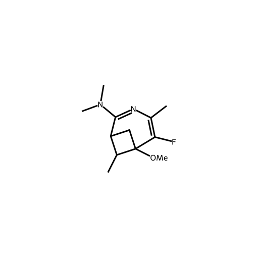 COC12CC(C(N(C)C)=NC(C)=C1F)C2C